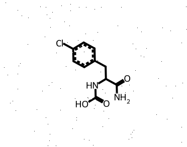 NC(=O)C(Cc1ccc(Cl)cc1)NC(=O)O